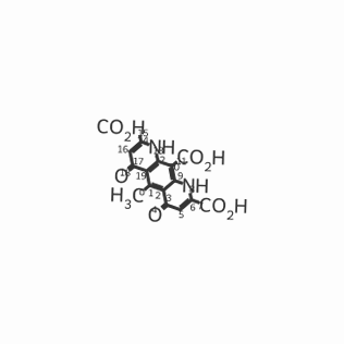 Cc1c2c(=O)cc(C(=O)O)[nH]c2c(C(=O)O)c2[nH]c(C(=O)O)cc(=O)c12